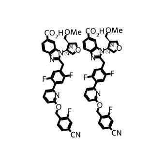 COC[C@H]1COC[C@H]1n1c(Cc2cc(F)c(-c3cccc(OCc4ccc(C#N)cc4F)n3)cc2F)nc2ccc(C(=O)O)cc21.COC[C@H]1COC[C@H]1n1c(Cc2cc(F)c(-c3cccc(OCc4ccc(C#N)cc4F)n3)cc2F)nc2ccc(C(=O)O)cc21